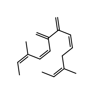 C=C(/C=C\C/C(C)=C\C)C(=C)/C=C\C(C)=C/C